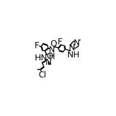 C=N/C(=C\C=C(/C)Cl)NC(=O)c1cc(F)ccc1NC(=O)c1ccc(C(=N)N2CCN(C)CC2)cc1F